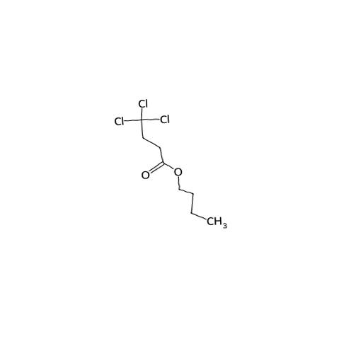 CCCCOC(=O)CCC(Cl)(Cl)Cl